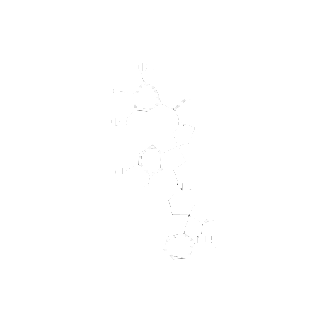 CC(C)(C)c1cc(C(=O)N2CCC(CCN3CCC(C(N)=O)(c4ccccc4)CC3)(c3ccc(Cl)c(Cl)c3)C2)cc(C(C)(C)C)c1O